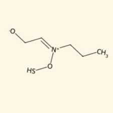 CCC[N+](=CC[O])OS